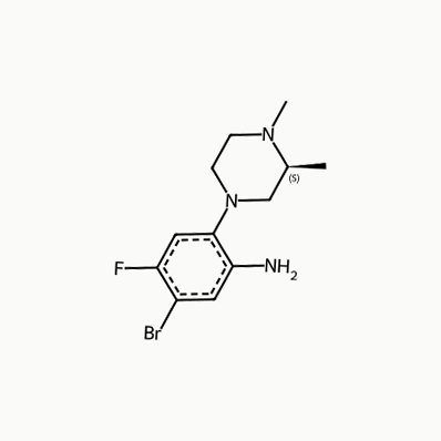 C[C@H]1CN(c2cc(F)c(Br)cc2N)CCN1C